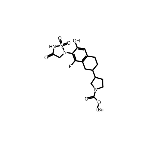 CC(C)(C)OC(=O)N1CCC(C2CCc3cc(O)c(N4CC(=O)NS4(=O)=O)c(F)c3C2)C1